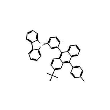 Cc1ccc(-c2c3ccccc3c(-c3cccc(-n4c5ccccc5c5ccccc54)c3)c3ccc(C(C)(C)C)cc23)cc1